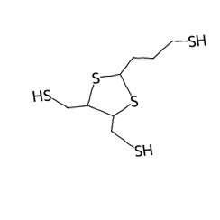 SCCCC1SC(CS)C(CS)S1